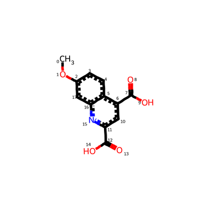 COc1ccc2c(C(=O)O)cc(C(=O)O)nc2c1